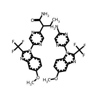 CCC(C(N)=O)c1cnc(-n2c(C(F)(F)F)nc3cc(OC)ccc32)cn1.COc1ccc2c(c1)nc(C(F)(F)F)n2-c1cnc(N)cn1